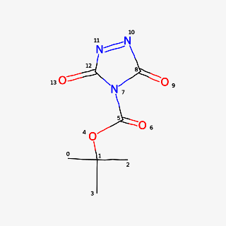 CC(C)(C)OC(=O)N1C(=O)N=NC1=O